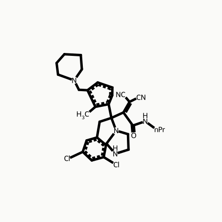 CCCNC(=O)C(=C(C#N)C#N)C(Cc1cc(Cl)cc(Cl)c1)(c1cccc(CN2CCCCC2)c1C)N1CCNC1